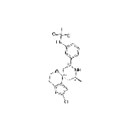 C[C@H]1C[C@@]2(C[C@@H](c3cccc(NS(C)(=O)=O)c3)N1)OCCc1cc(Cl)sc12